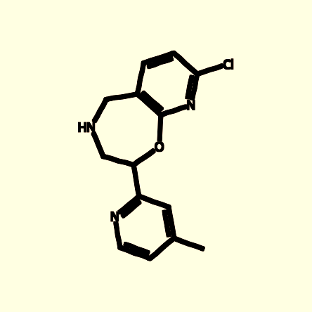 Cc1ccnc(C2CNCc3ccc(Cl)nc3O2)c1